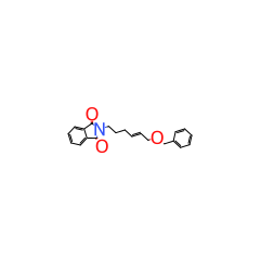 O=C1c2ccccc2C(=O)N1CCCC=CCOCc1ccccc1